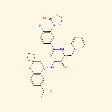 CC(=O)c1ccc2c(c1)[C@@H](NC[C@H](O)[C@H](Cc1ccccc1)NC(=O)c1ccc(F)c(N3CCCC3=O)c1)CC1(CCC1)O2